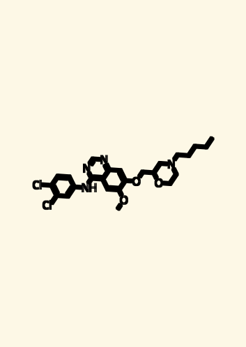 CCCCCN1CCOC(COc2cc3ncnc(Nc4ccc(Cl)c(Cl)c4)c3cc2OC)C1